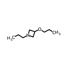 CCCOC1CN(CCC)C1